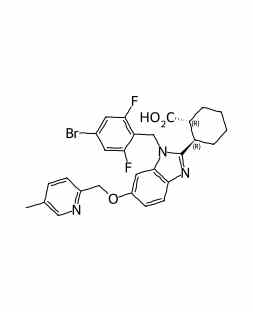 Cc1ccc(COc2ccc3nc([C@@H]4CCCC[C@H]4C(=O)O)n(Cc4c(F)cc(Br)cc4F)c3c2)nc1